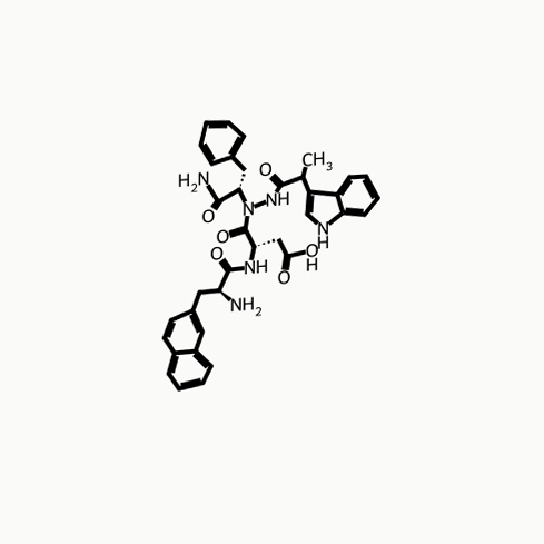 CC(C(=O)NN(C(=O)[C@H](CC(=O)O)NC(=O)[C@@H](N)Cc1ccc2ccccc2c1)[C@@H](Cc1ccccc1)C(N)=O)c1c[nH]c2ccccc12